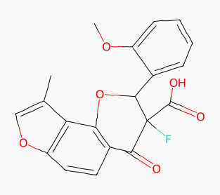 COc1ccccc1C1Oc2c(ccc3occ(C)c23)C(=O)C1(F)C(=O)O